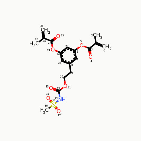 C=C(C)C(=O)Oc1cc(CCOC(=O)NS(=O)(=O)C(F)(F)F)cc(OC(=O)C(=C)C)c1